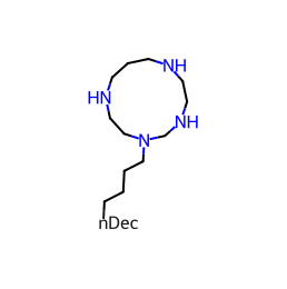 CCCCCCCCCCCCCCN1CCNCCCNCCNC1